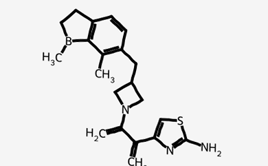 C=C(C(=C)N1CC(Cc2ccc3c(c2C)B(C)CC3)C1)c1csc(N)n1